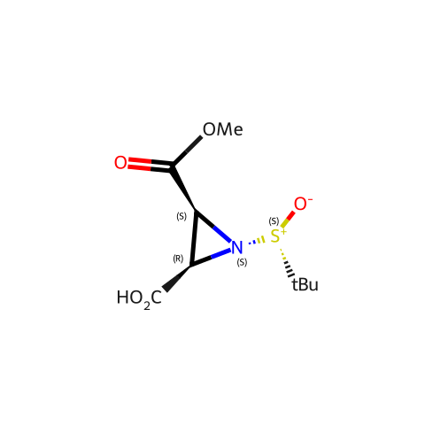 COC(=O)[C@@H]1[C@H](C(=O)O)[N@@]1[S@+]([O-])C(C)(C)C